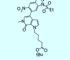 CCS(=O)(=O)n1ncc2cc([N+](=O)[O-])c(-c3cn(C)c(=O)c4c3ccn4CCCCC(=O)OC(C)(C)C)cc21